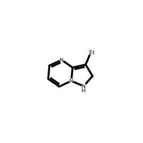 CCC1=C2N=CC=CN2NC1